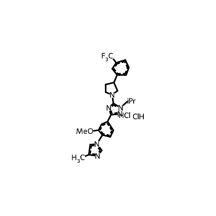 COc1cc(-c2nc(N3CCC(c4cccc(C(F)(F)F)c4)C3)n(C(C)C)n2)ccc1-n1cnc(C)c1.Cl.Cl